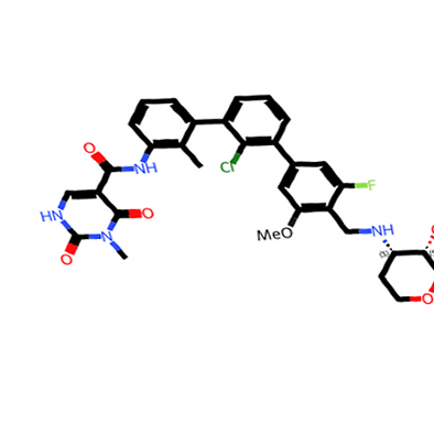 COc1cc(-c2cccc(-c3cccc(NC(=O)c4c[nH]c(=O)n(C)c4=O)c3C)c2Cl)cc(F)c1CN[C@H]1CCOC[C@H]1O